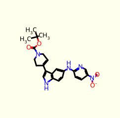 CC(C)(C)OC(=O)N1CC=C(c2c[nH]c3ccc(Nc4ccc([N+](=O)[O-])cn4)cc23)CC1